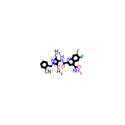 Cc1nn(Cc2ccccc2C#N)c(C)c1NC(=O)c1cc(C(N)=O)c2cc(F)c(F)cc2n1